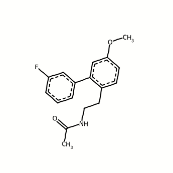 COc1ccc(CCNC(C)=O)c(-c2cccc(F)c2)c1